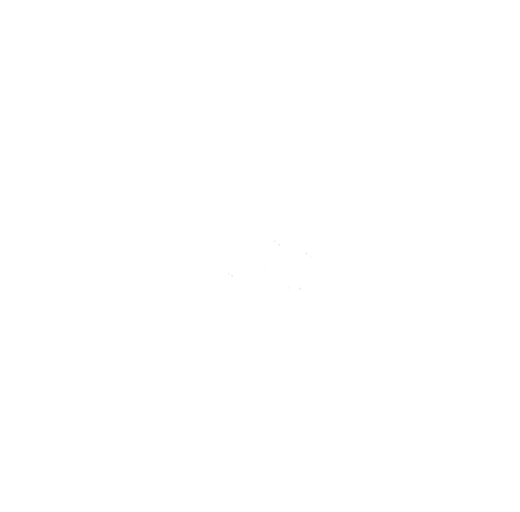 Fc1cc2c(CNSC3CC3)cn(C3CCC3)c2nc1Cl